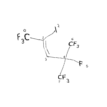 FC(F)(F)C(I)=CC(F)(C(F)(F)F)C(F)(F)F